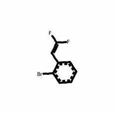 FC(F)=Cc1ccccc1Br